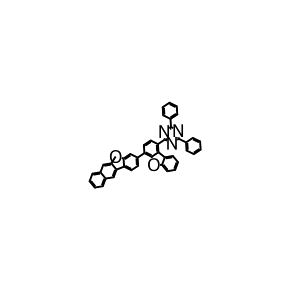 c1ccc(-c2nc(-c3ccccc3)nc(-c3ccc(-c4ccc5c(c4)oc4cc6ccccc6cc45)c4oc5ccccc5c34)n2)cc1